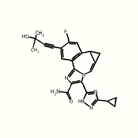 CC(C)(O)C#Cc1cc2c(cc1F)C1CC1=Cn1c-2nc(C(N)=O)c1-c1nc(C2CC2)n[nH]1